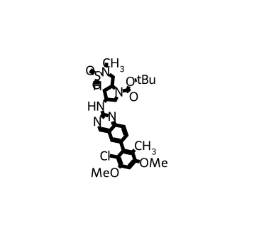 COc1cc(OC)c(Cl)c(-c2ccc3nc(NC4CC(CN(C)[SH](=O)=O)N(C(=O)OC(C)(C)C)C4)ncc3c2)c1C